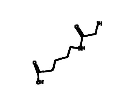 O=C(O)CCCCNC(=O)CS